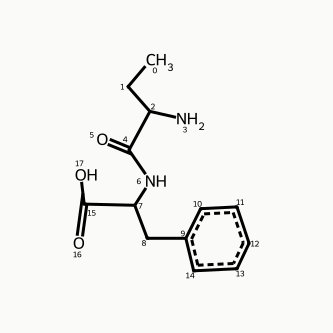 CCC(N)C(=O)NC(Cc1ccccc1)C(=O)O